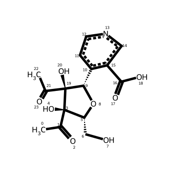 CC(=O)[C@@]1(O)[C@@H](CO)O[C@@H](c2ccncc2C(=O)O)[C@@]1(O)C(C)=O